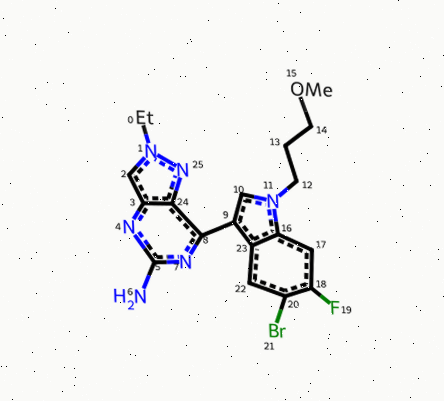 CCn1cc2nc(N)nc(-c3cn(CCCOC)c4cc(F)c(Br)cc34)c2n1